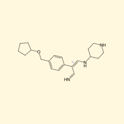 N=C/C(=C\NC1CCNCC1)c1ccc(COC2CCCC2)cc1